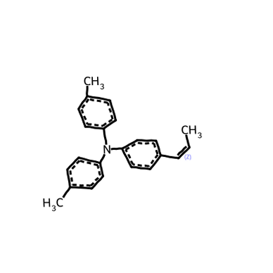 C/C=C\c1ccc(N(c2ccc(C)cc2)c2ccc(C)cc2)cc1